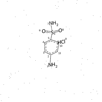 Cl.Nc1ccc(S(N)(=O)=O)cc1